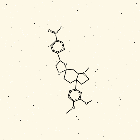 COc1ccc(C23CCN(C)C2CC2(CC3)OCC(c3ccc([N+](=O)[O-])cc3)O2)cc1OC